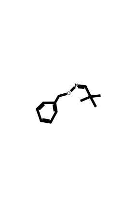 CC(C)(C)/[C]=N\OCc1ccccc1